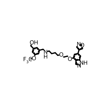 OCc1cc(CNCCCCOCCOc2cc(-c3cnoc3)cc3[nH]ncc23)cc(OC(F)(F)F)c1